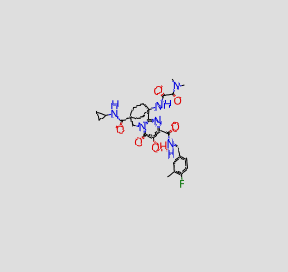 Cc1cc(CNC(=O)c2nc3n(c(=O)c2O)CC2(C(=O)NC4CC4)CCC3(NC(=O)C(=O)N(C)C)CC2)ccc1F